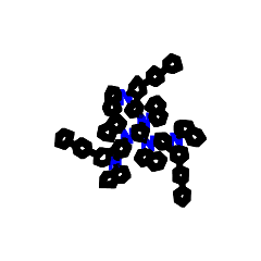 C1=CC2C(C=C1c1ccc(-c3ccccc3)cc1)c1cc(N(c3cc(N(c4ccc5c(c4)c4c(n5-c5cccc6ccccc56)CCC(c5ccc(-c6ccccc6)cc5)=C4)c4cccc5ccccc45)cc(N(c4ccc5c(c4)c4cc(-c6ccc(-c7ccccc7)cc6)ccc4n5-c4cccc5ccccc45)c4cccc5ccccc45)c3)c3cccc4ccccc34)ccc1N2c1cccc2ccccc12